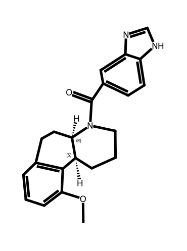 COc1cccc2c1[C@@H]1CCCN(C(=O)c3ccc4[nH]cnc4c3)[C@@H]1CC2